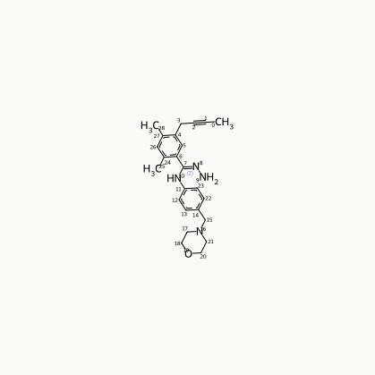 CC#CCc1cc(/C(=N/N)Nc2ccc(CN3CCOCC3)cc2)c(C)cc1C